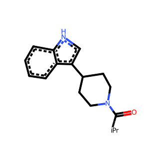 CC(C)C(=O)N1CCC(c2c[nH]c3ccccc23)CC1